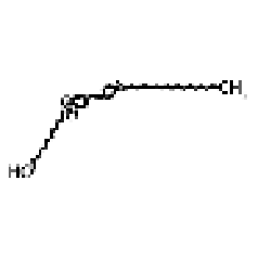 CCCCCCCCCCCCCCCCCCSc1ccc(C=Cc2ccc(S(=O)(=O)CCCCCCCCCCCCO)cc2)cc1